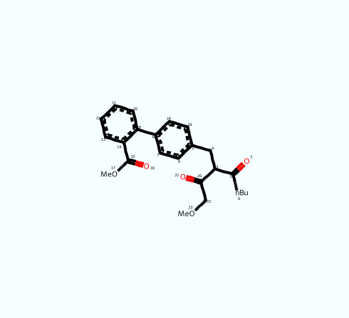 CCCCC(=O)C(Cc1ccc(-c2ccccc2C(=O)OC)cc1)C(=O)COC